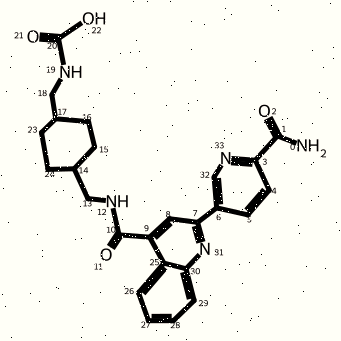 NC(=O)c1ccc(-c2cc(C(=O)NCC3CCC(CNC(=O)O)CC3)c3ccccc3n2)cn1